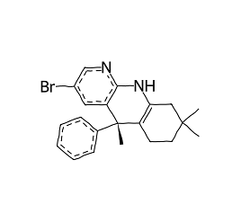 CC1(C)CCC2=C(C1)Nc1ncc(Br)cc1[C@@]2(C)c1ccccc1